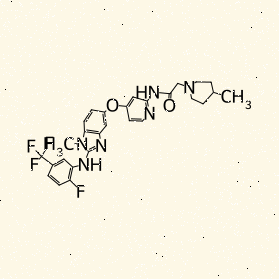 CC1CCN(CC(=O)Nc2cc(Oc3ccc4c(c3)nc(Nc3cc(C(F)(F)F)ccc3F)n4C)ccn2)CC1